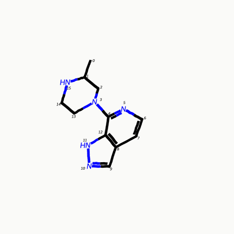 CC1CN(c2nccc3cn[nH]c23)CCN1